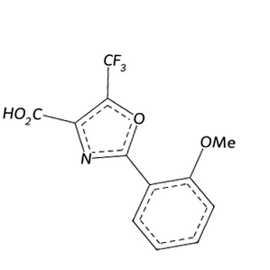 COc1ccccc1-c1nc(C(=O)O)c(C(F)(F)F)o1